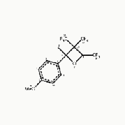 COc1ccc(C2(C)OC(C(F)(F)F)C2(C(F)(F)F)C(F)(F)F)cc1